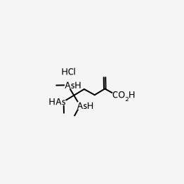 C=C(CCC([AsH]C)([AsH]C)[AsH]C)C(=O)O.Cl